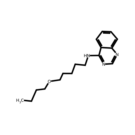 CCCCOCCCCCNc1ncnc2ccccc12